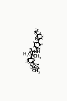 CCOc1cncc(-c2ccc(NC(=O)C(C)(C)c3ccnc(NS(C)(=O)=O)n3)nc2)n1